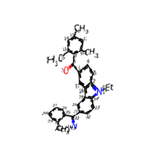 CCn1c2ccc(C(=O)c3c(C)cc(C)cc3C)cc2c2cc(/C(=N/OC(C)=O)c3ccccc3C)ccc21